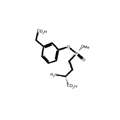 CO[P@](=O)(CC[C@@H](N)C(=O)O)Oc1cccc(CC(=O)O)c1